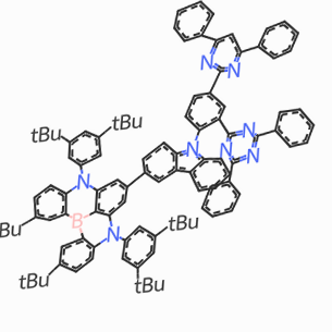 CC(C)(C)c1cc(N2c3ccc(C(C)(C)C)cc3B3c4cc(C(C)(C)C)ccc4N(c4cc(C(C)(C)C)cc(C(C)(C)C)c4)c4cc(-c5ccc6c(c5)c5ccccc5n6-c5ccc(-c6nc(-c7ccccc7)cc(-c7ccccc7)n6)cc5-c5nc(-c6ccccc6)nc(-c6ccccc6)n5)cc2c43)cc(C(C)(C)C)c1